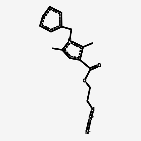 Cc1cc(C(=O)OCCN=[N+]=[N-])c(C)n1Cc1ccccc1